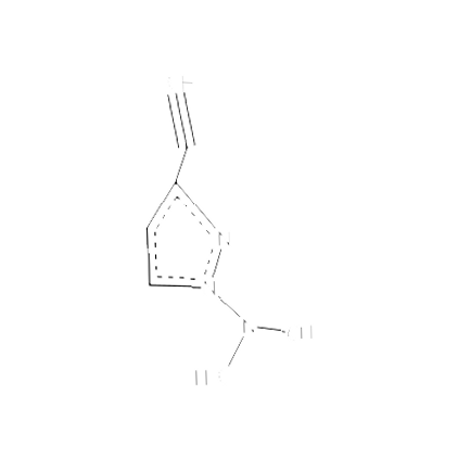 C#Cc1ccn(N(C)C)n1